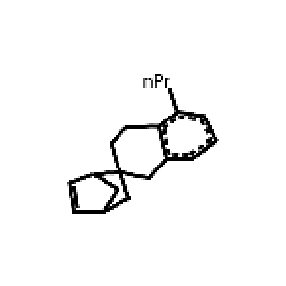 CCCc1cccc2c1CCC1(C2)CC2C=CC1C2